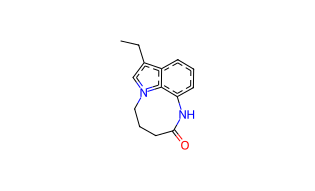 CCc1cn2c3c(cccc13)NC(=O)CCC2